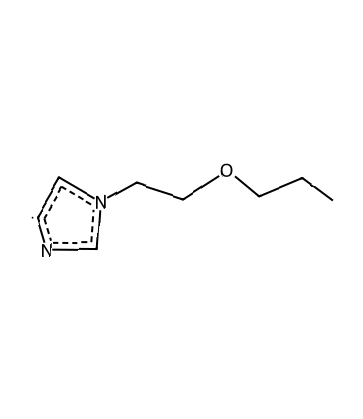 CCCOCCn1c[c]nc1